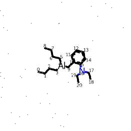 CCC[CH2][Al]([CH2]CCC)[CH2]c1ccccc1N(CC)CC